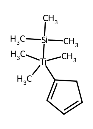 C[Si](C)(C)[Ti]([CH3])([CH3])([CH3])[C]1=CC=CC1